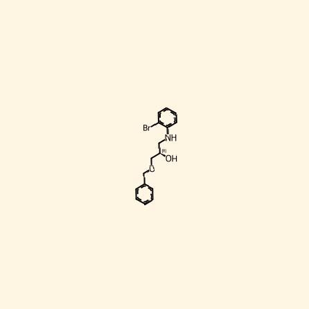 O[C@H](CNc1ccccc1Br)COCc1ccccc1